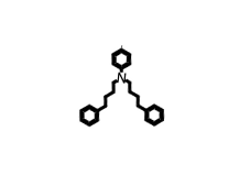 [c]1ccc(N(CCCCc2ccccc2)CCCCc2ccccc2)cc1